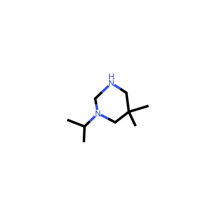 CC(C)N1CNCC(C)(C)C1